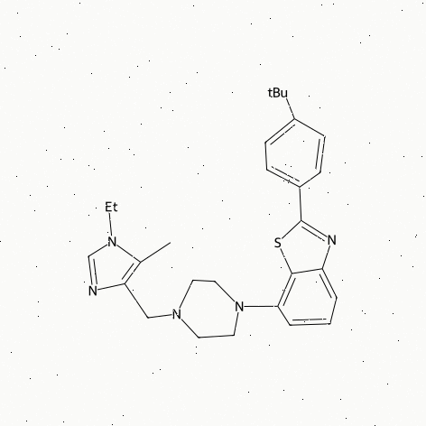 CCn1cnc(CN2CCN(c3cccc4nc(-c5ccc(C(C)(C)C)cc5)sc34)CC2)c1C